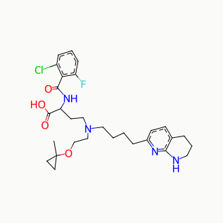 CC1(OCCN(CCCCc2ccc3c(n2)NCCC3)CCC(NC(=O)c2c(F)cccc2Cl)C(=O)O)CC1